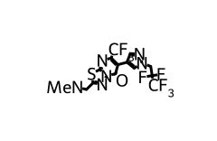 CNCc1nn2c(=O)c(-c3cnn(CC(F)(F)C(F)(F)F)c3)c(C(F)(F)F)nc2s1